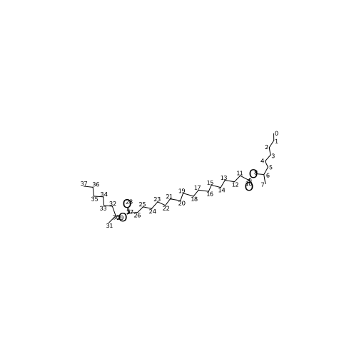 CCCCCCC(C)OC(=O)CCCCCCCCCCCCCCCCC(=O)OC(C)CCCCCC